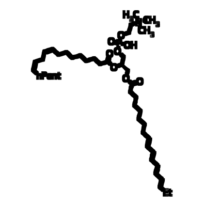 CC/C=C/C=C/C=C/C=C/CCCCCCCC(=O)OC[C@H](COP(=O)(O)OCC[N+](C)(C)C)OC(=O)CCCCCCC/C=C\C/C=C\CCCCC